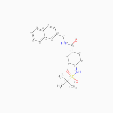 CC(C)(C)S(=O)(=O)N[C@H]1CC[C@H](C(=O)NCc2ccc3ccccc3c2)CC1